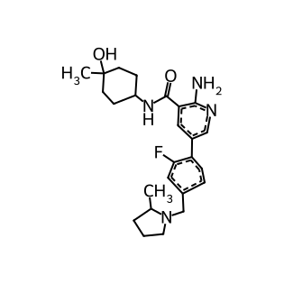 CC1CCCN1Cc1ccc(-c2cnc(N)c(C(=O)NC3CCC(C)(O)CC3)c2)c(F)c1